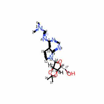 CN(C)/C=N/c1ncnc2c1ccn2[C@@H]1O[C@H](CO)[C@H]2OC(C)(C)O[C@H]21